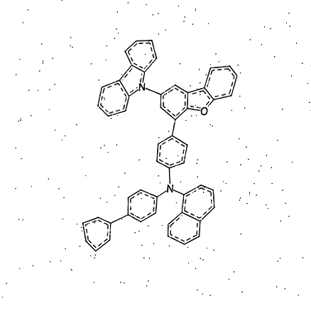 c1ccc(-c2ccc(N(c3ccc(-c4cc(-n5c6ccccc6c6ccccc65)cc5c4oc4ccccc45)cc3)c3cccc4ccccc34)cc2)cc1